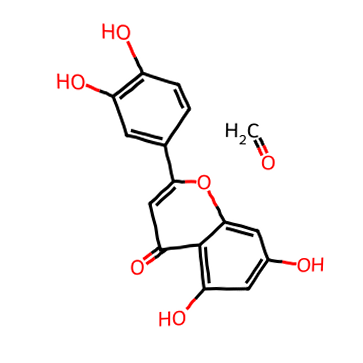 C=O.O=c1cc(-c2ccc(O)c(O)c2)oc2cc(O)cc(O)c12